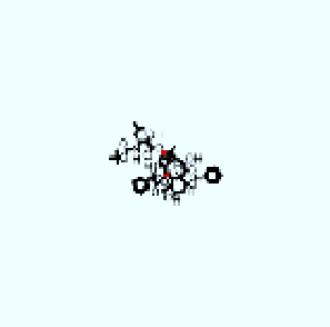 CC(=O)O[C@@]12CO[C@@H]1C[C@@H]1O[C@H](c3ccccc3)O[C@H]3[C@H](O)C4=C(C)[C@@H](OC(=O)[C@H](O)[C@H](CC(C)C)NC(=O)OC(C)(C)C)C[C@@](O)([C@@H](OC(=O)c5ccccc5)[C@H]2[C@@]13C)C4(C)C